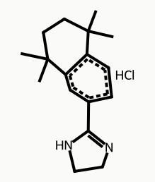 CC1(C)CCC(C)(C)c2cc(C3=NCCN3)ccc21.Cl